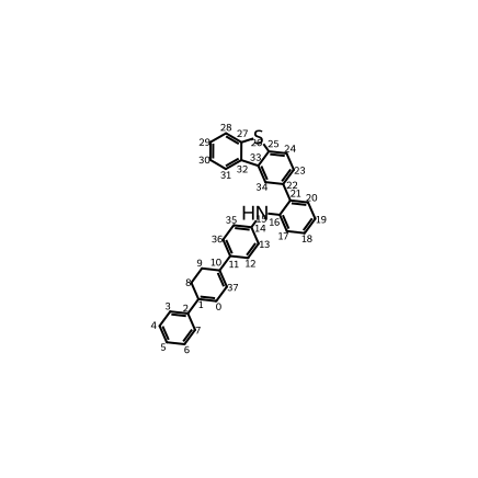 C1=C(c2ccccc2)CCC(c2ccc(Nc3ccccc3-c3ccc4sc5ccccc5c4c3)cc2)=C1